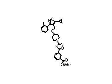 COC(=O)c1cccc(-c2nc(N3CCC(OCc4c(-c5ccccc5C)noc4C4CC4)CC3)no2)c1